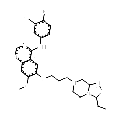 CCC1NNC2CN(CCCOc3cc4c(Nc5ccc(F)c(Cl)c5)ncnc4cc3OC)CCN12